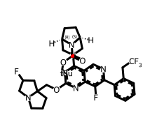 CC(C)(C)OC(=O)N1[C@@H]2CC[C@H]1CN(c1nc(OCC34CCCN3CC(F)C4)nc3c(F)c(-c4ccccc4CC(F)(F)F)ncc13)C2